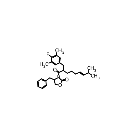 Cc1cc(CC(CCCC=CC(C)C)C(=O)N2C(=O)OCC2Cc2ccccc2)cc(C)c1F